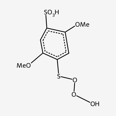 COc1cc(S(=O)(=O)O)c(OC)cc1SOOO